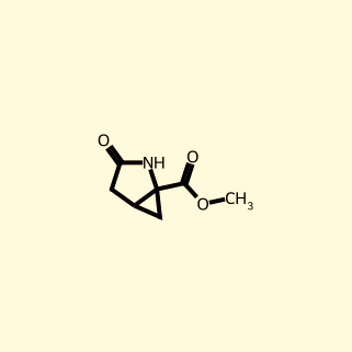 COC(=O)C12CC1CC(=O)N2